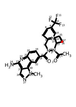 CC(=O)N(N(Cc1ccc(C(F)(F)F)cn1)C(=O)c1ccc2nc(N)c3cnn(C)c3c2c1)C12CC(C1)C2